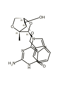 C[C@]12OC[C@@]3(O[C@H]1n1cnc4c(=O)[nH]c(N)nc41)C(O)[C@]23OCc1ccccc1